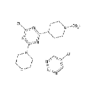 Clc1cnnnc1.O=C(O)N1CCN(c2nc(Cl)nc(N3CCOCC3)n2)CC1